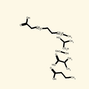 CC(=O)O.CC(C)C(=O)O.CC(O)C(=O)O.CCC(=O)O.CCCC(=O)O.O=C(O)CCC(=O)O.O=CO